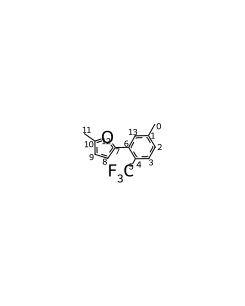 Cc1ccc(C(F)(F)F)c(-c2ccc(C)o2)c1